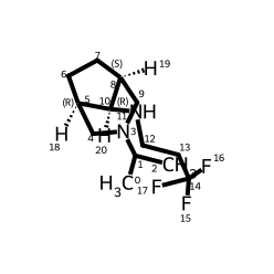 CC(C)N1C[C@H]2CC[C@@H](C1)[C@H]2NCCC(F)(F)F